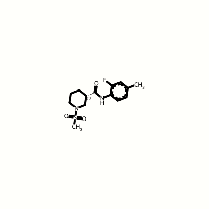 Cc1ccc(NC(=O)[C@H]2CCCN(S(C)(=O)=O)C2)c(F)c1